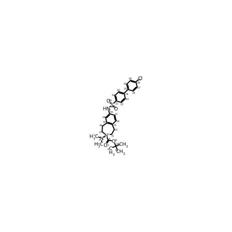 CN(C)[N+]1(C(=O)OC(C)(C)C)CCc2ccc(NS(=O)(=O)c3ccc(-c4ccc(Cl)cc4)cc3)cc2CC1